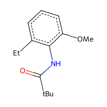 CCc1cccc(OC)c1NC(=O)C(C)(C)C